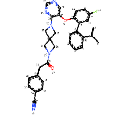 CC(C)c1ccccc1-c1cc(F)ccc1Oc1cncnc1N1CC2(CN(C(=O)Cc3ccc(C#N)cc3)C2)C1